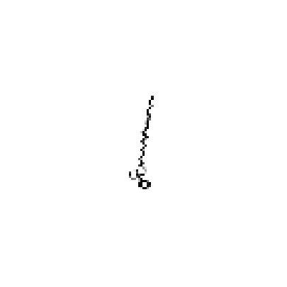 CCCCCCCCCCCCCCCCOC(=O)C1=C2CCC(C2)C1